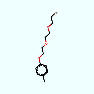 Cc1ccc(OCCOCCOCCS)cc1